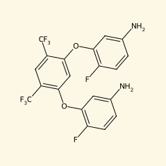 Nc1ccc(F)c(Oc2cc(Oc3cc(N)ccc3F)c(C(F)(F)F)cc2C(F)(F)F)c1